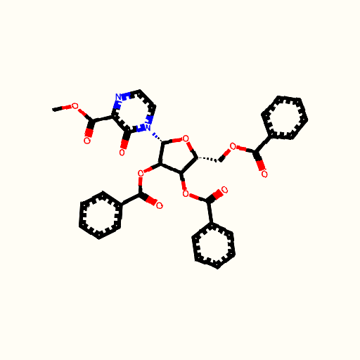 COC(=O)c1nccn([C@@H]2O[C@H](COC(=O)c3ccccc3)C(OC(=O)c3ccccc3)C2OC(=O)c2ccccc2)c1=O